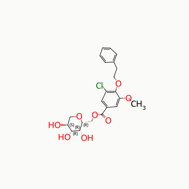 COc1cc(C(=O)OC[C@H]2OC[C@H](O)[C@@H](O)[C@H]2O)cc(Cl)c1OCCc1ccccc1